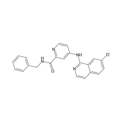 O=C(NCc1ccccc1)c1cc(Nc2nccc3ccc(Cl)cc23)ccn1